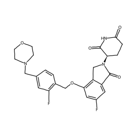 O=C1CC[C@@H](N2Cc3c(OCc4ccc(CN5CCOCC5)cc4F)cc(F)cc3C2=O)C(=O)N1